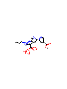 CCCCn1cc(C(=O)O)c2cc(-c3cc(C(=O)OC)ccn3)ncc21